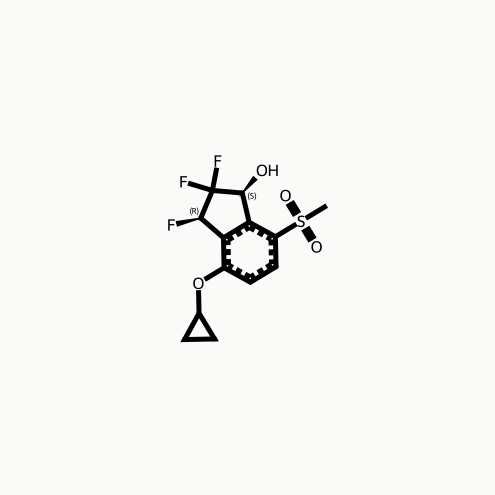 CS(=O)(=O)c1ccc(OC2CC2)c2c1[C@H](O)C(F)(F)[C@@H]2F